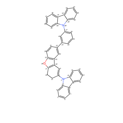 C1=C(n2c3ccccc3c3ccccc32)CCc2oc3ccc(-c4cccc(-n5c6ccccc6c6ccccc65)c4)cc3c21